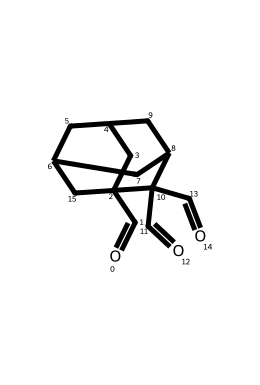 O=CC12CC3CC(CC(C3)C1(C=O)C=O)C2